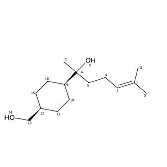 CC(C)=CCCC(C)(O)[C@H]1CC[C@@H](CO)CC1